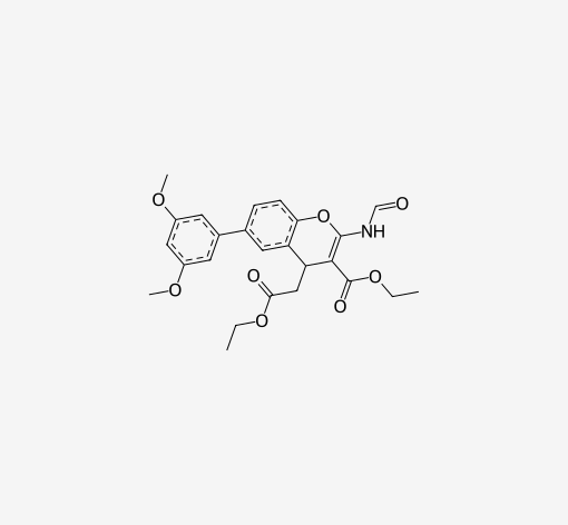 CCOC(=O)CC1C(C(=O)OCC)=C(NC=O)Oc2ccc(-c3cc(OC)cc(OC)c3)cc21